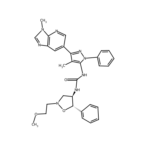 COCCN1C[C@@H](NC(=O)Nc2c(C)c(-c3cnc4c(c3)ncn4C)nn2-c2ccccc2)[C@H](c2ccccc2)O1